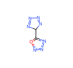 N1=NC(c2nnno2)N=N1